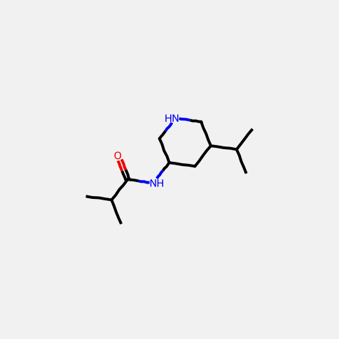 CC(C)C(=O)NC1CNCC(C(C)C)C1